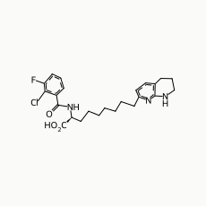 O=C(N[C@@H](CCCCCCCc1ccc2c(n1)NCCC2)C(=O)O)c1cccc(F)c1Cl